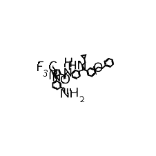 NCc1cccc(-n2nc(C(F)(F)F)cc2C(=O)Nc2cccc(C(NCC3CC3)c3cccc(OCc4ccccc4)c3)c2)c1